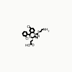 NCCSc1nnc2n1-c1ccc(Cl)cc1C(c1ccccc1Cl)=N[C@H]2CCC(=O)O